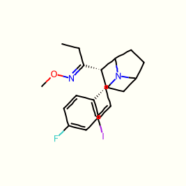 CCC(=NOC)[C@@H]1C2CCC(C[C@@H]1c1ccc(F)cc1)N2CC=CI